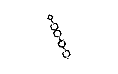 c1cc(N2CCC3(CC2)CCN(C2CCC2)CC3)ncc1N1CCOCC1